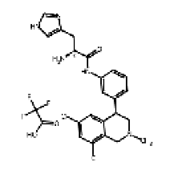 CN1Cc2c(Cl)cc(Cl)cc2C(c2cccc(NC(=O)[C@@H](N)Cc3c[nH]cn3)c2)C1.O=C(O)C(F)(F)F